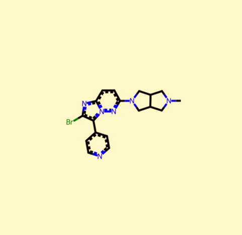 CN1CC2CN(c3ccc4nc(Br)c(-c5ccncc5)n4n3)CC2C1